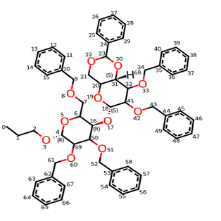 CCCO[C@@H]1OC(COCc2ccccc2)[C@@H](O[C@@H]2OC3COC(c4ccccc4)O[C@@H]3C(OCc3ccccc3)C2OCc2ccccc2)C(OCc2ccccc2)C1OCc1ccccc1